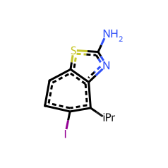 CC(C)c1c(I)ccc2sc(N)nc12